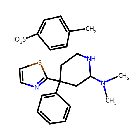 CN(C)C1CC(c2ccccc2)(c2nccs2)CCN1.Cc1ccc(S(=O)(=O)O)cc1